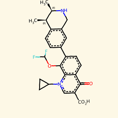 C[C@@H]1c2ccc(-c3ccc4c(=O)c(C(=O)O)cn(C5CC5)c4c3OC(F)F)cc2CN[C@@H]1C